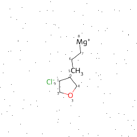 C1CCOC1.CC[CH2][Mg+].[Cl-]